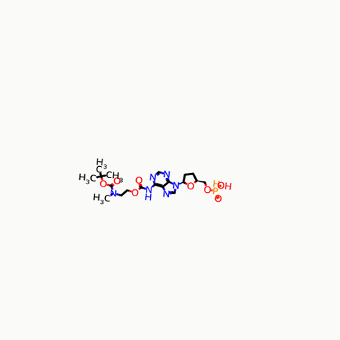 CN(CCOC(=O)Nc1ncnc2c1ncn2[C@H]1CC[C@@H](CO[PH](=O)O)O1)C(=O)OC(C)(C)C